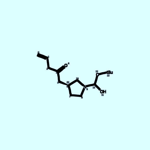 C=CCC(=O)C[C@@H]1CCN(C(O)OC(C)(C)C)C1